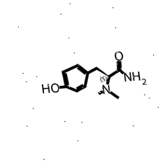 CN(C)[C@@H](Cc1ccc(O)cc1)C(N)=O